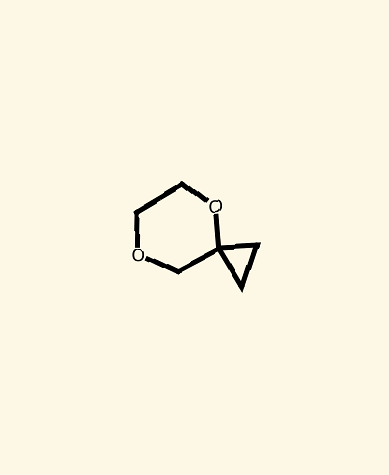 C1COC2(CC2)CO1